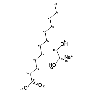 CCCCCCCCCCCC(=O)[O-].OCCO.[Na+]